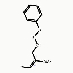 C/C=C(\COPOc1ccccc1)OC